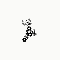 [2H]C([2H])([2H])n1c(=O)n(C2CCC(=N[S+]([O-])C(C)(C)C)CC2)c2c3c(Br)cn(S(=O)(=O)c4ccccc4)c3ncc21